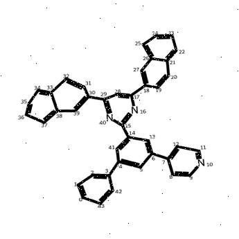 c1ccc(-c2cc(-c3ccncc3)cc(-c3nc(-c4ccc5ccccc5c4)cc(-c4ccc5ccccc5c4)n3)c2)cc1